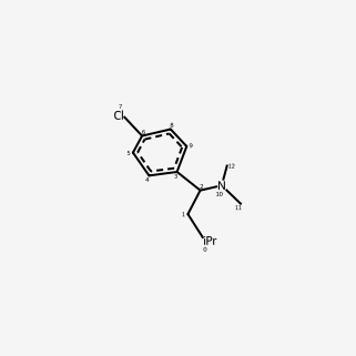 CC(C)CC(c1ccc(Cl)cc1)N(C)C